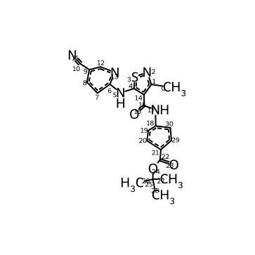 Cc1nsc(Nc2ccc(C#N)cn2)c1C(=O)Nc1ccc(C(=O)OC(C)(C)C)cc1